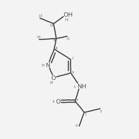 CC(C)C(=O)Nc1cc(C(C)(C)C(C)O)no1